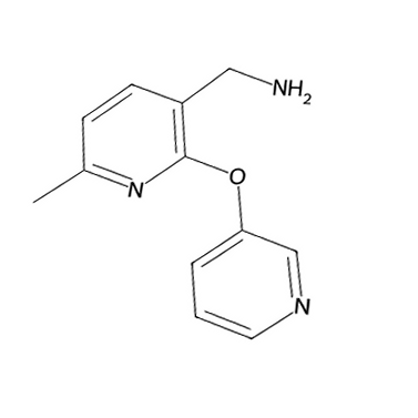 Cc1ccc(CN)c(Oc2cccnc2)n1